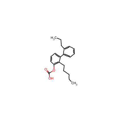 CCCCCc1c(OC(=O)O)cccc1-c1ccccc1CCC